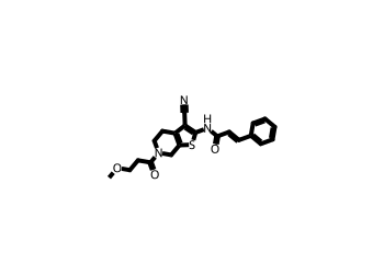 COCCC(=O)N1CCc2c(sc(NC(=O)C=Cc3ccccc3)c2C#N)C1